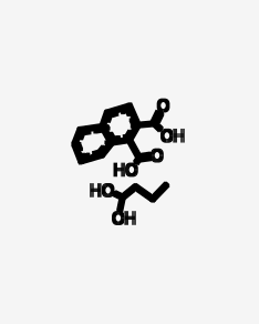 CCCC(O)O.O=C(O)c1ccc2ccccc2c1C(=O)O